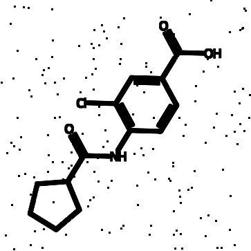 O=C(O)c1ccc(NC(=O)C2CCCC2)c(Cl)c1